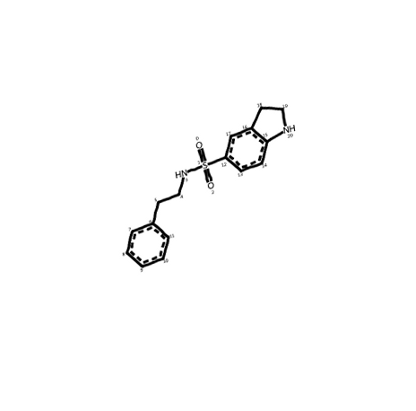 O=S(=O)(NCCc1ccccc1)c1ccc2c(c1)CCN2